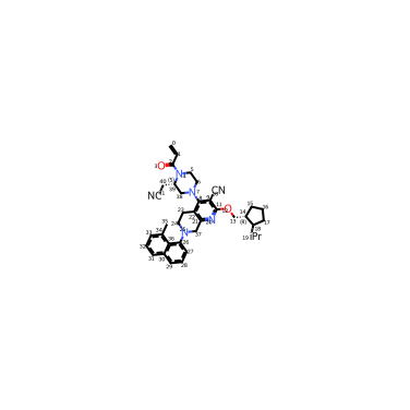 C=CC(=O)N1CCN(c2c(C#N)c(OC[C@@H]3CCCC3C(C)C)nc3c2CCN(c2cccc4cccc(C)c24)C3)C[C@@H]1CC#N